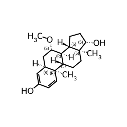 CO[C@H]1C[C@@H]2C=C(O)C=C[C@]2(C)[C@H]2CC[C@]3(C)[C@@H](O)CC[C@H]3[C@H]12